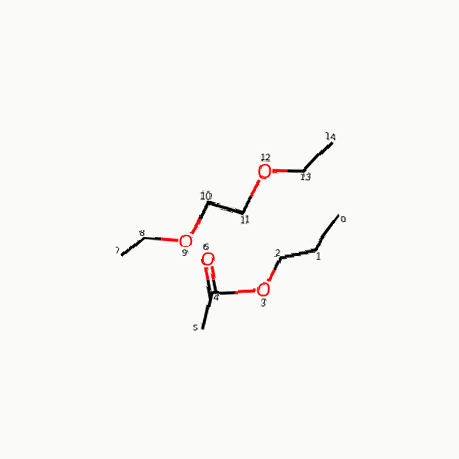 CCCOC(C)=O.CCOCCOCC